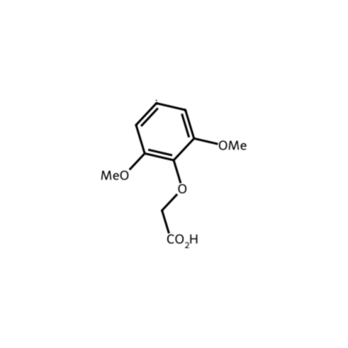 COc1c[c]cc(OC)c1OCC(=O)O